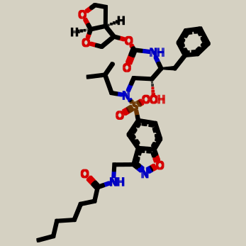 CCCCCCC(=O)NCc1noc2ccc(S(=O)(=O)N(CC(C)C)C[C@@H](O)[C@H](Cc3ccccc3)NC(=O)OC3CO[C@H]4OCC[C@@H]34)cc12